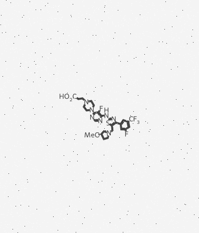 CO[C@H]1CCN(Cc2sc(Nc3ncnc(N4CCN(CCC(=O)O)CC4)c3F)nc2-c2cc(F)cc(C(F)(F)F)c2)C1